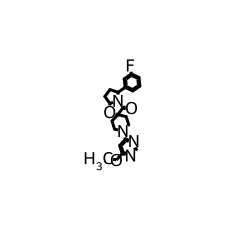 COc1cc(N2CCC3(CC2)OC2CCC(c4cccc(F)c4)N2C3=O)ncn1